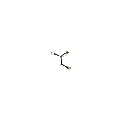 CC[C@@H](S)CN